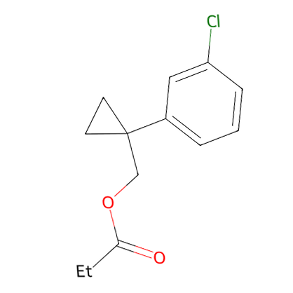 CCC(=O)OCC1(c2cccc(Cl)c2)CC1